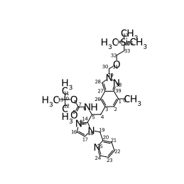 Cc1cc(CC(NC(=O)OC(C)(C)C)c2nccn2Cc2ccccn2)cc2cn(COCC[Si](C)(C)C)nc12